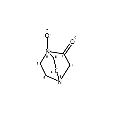 O=C1CN2CC[N+]1([O-])CC2